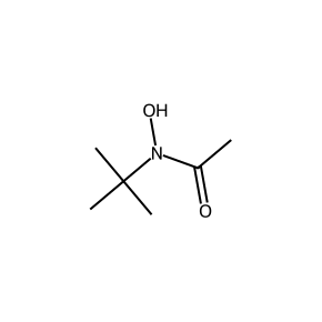 CC(=O)N(O)C(C)(C)C